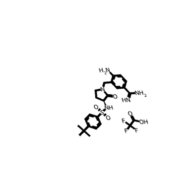 CC(C)(C)c1ccc(S(=O)(=O)N[C@H]2CCN(Cc3cc(C(=N)N)ccc3N)C2=O)cc1.O=C(O)C(F)(F)F